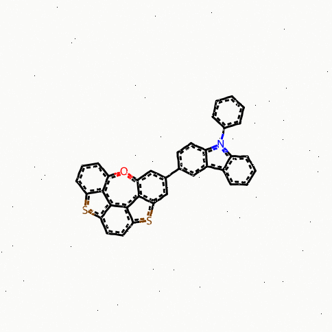 c1ccc(-n2c3ccccc3c3cc(-c4cc5oc6cccc7sc8ccc9sc(c4)c5c9c8c67)ccc32)cc1